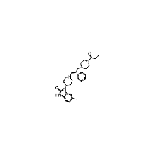 CCC(=O)N1CCC(CCCN2CCC(n3c(=O)[nH]c4ccc(C)cc43)CC2)(c2ccccc2)CC1